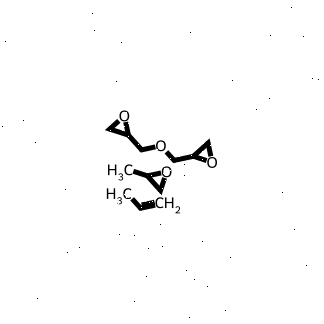 C(OCC1CO1)C1CO1.C=CC.CC1CO1